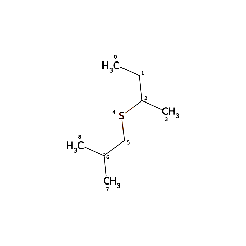 CCC(C)SC[C](C)C